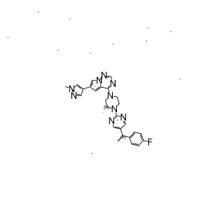 C[C@H](c1ccc(F)cc1)c1cnc(N2CCN(c3ncnn4cc(-c5cnn(C)c5)cc34)C[C@H]2C)nc1